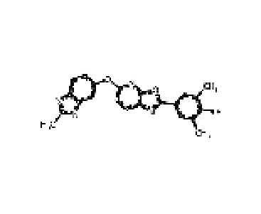 Cc1nc2cc(Oc3ncc4nc(-c5cc(C)c([O])c(C)c5)oc4n3)ccc2s1